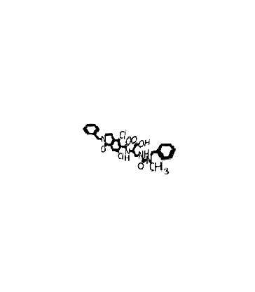 CN(Cc1ccccc1)C(=O)NCC(NC(=O)c1c(Cl)cc2c(c1Cl)CCN(Cc1ccccc1)C2=O)C(=O)O